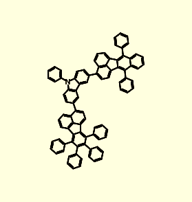 c1ccc(-c2c(-c3ccccc3)c(-c3ccccc3)c3c(c2-c2ccccc2)-c2cccc4c(-c5ccc6c(c5)c5cc(-c7ccc8c9c(cccc79)-c7c-8c(-c8ccccc8)c8ccccc8c7-c7ccccc7)ccc5n6-c5ccccc5)ccc-3c24)cc1